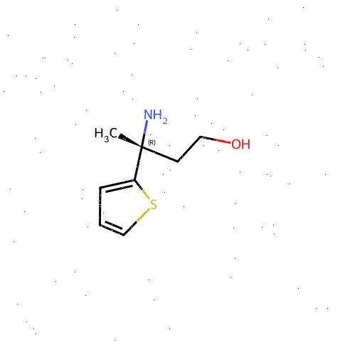 C[C@@](N)(CCO)c1cccs1